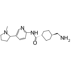 CN1CCCC1c1ccc(NC(=O)[C@H]2CC[C@H](CN)CC2)nc1